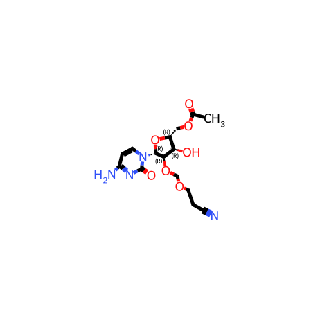 CC(=O)OC[C@H]1O[C@@H](n2ccc(N)nc2=O)[C@H](OCOCCC#N)[C@@H]1O